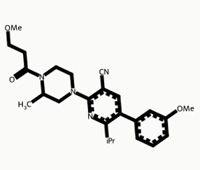 COCCC(=O)N1CCN(c2nc(C(C)C)c(-c3cccc(OC)c3)cc2C#N)CC1C